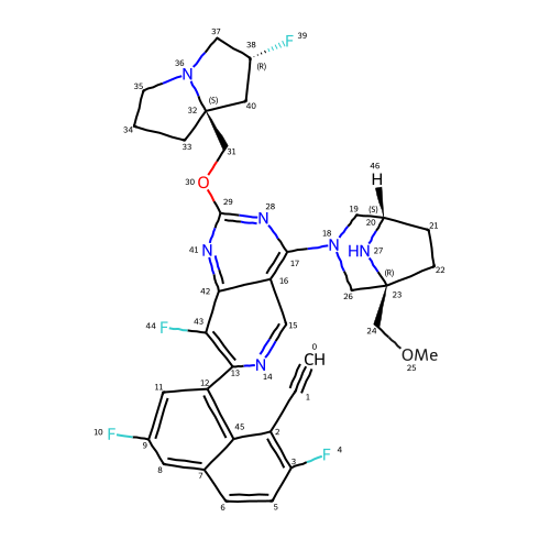 C#Cc1c(F)ccc2cc(F)cc(-c3ncc4c(N5C[C@@H]6CC[C@](COC)(C5)N6)nc(OC[C@@]56CCCN5C[C@H](F)C6)nc4c3F)c12